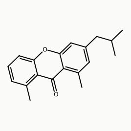 Cc1cccc2oc3cc(CC(C)C)cc(C)c3c(=O)c12